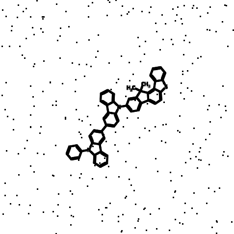 CC1(C)c2cc(-n3c4ccccc4c4cc(-c5ccc6c(c5)c5ccccc5n6-c5ccccc5)ccc43)ccc2-c2ccc3sc4ccccc4c3c21